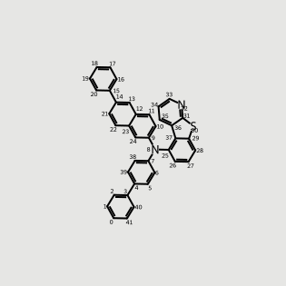 c1ccc(-c2ccc(N(c3ccc4cc(-c5ccccc5)ccc4c3)c3cccc4sc5ncccc5c34)cc2)cc1